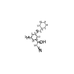 [2H]c1cc(SCC2CCCCC2)cc(C(O)CC#N)c1